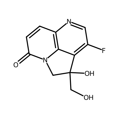 O=c1ccc2ncc(F)c3c2n1CC3(O)CO